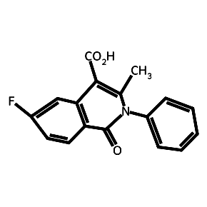 Cc1c(C(=O)O)c2cc(F)ccc2c(=O)n1-c1ccccc1